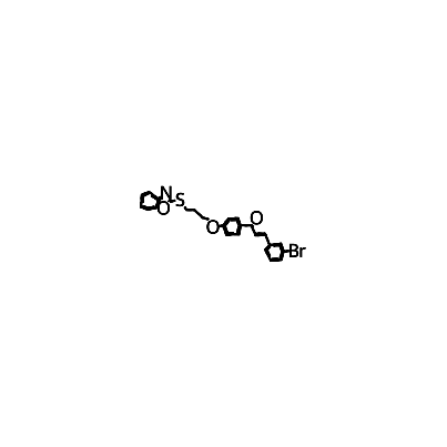 O=C(C=Cc1cccc(Br)c1)c1ccc(OCCCCSc2nc3ccccc3o2)cc1